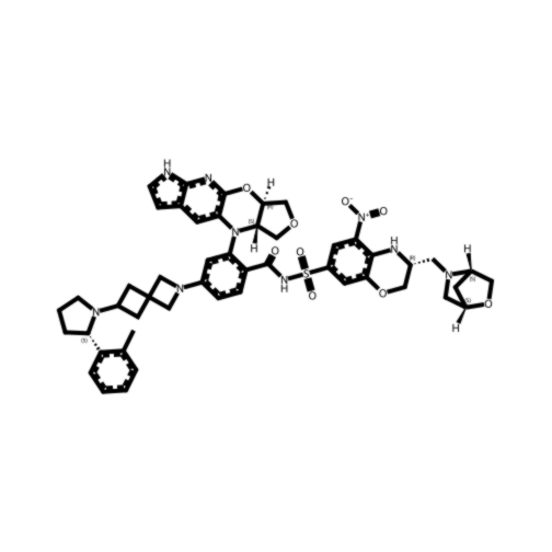 Cc1ccccc1[C@@H]1CCCN1C1CC2(C1)CN(c1ccc(C(=O)NS(=O)(=O)c3cc4c(c([N+](=O)[O-])c3)N[C@H](CN3C[C@@H]5C[C@H]3CO5)CO4)c(N3c4cc5cc[nH]c5nc4O[C@H]4COC[C@@H]43)c1)C2